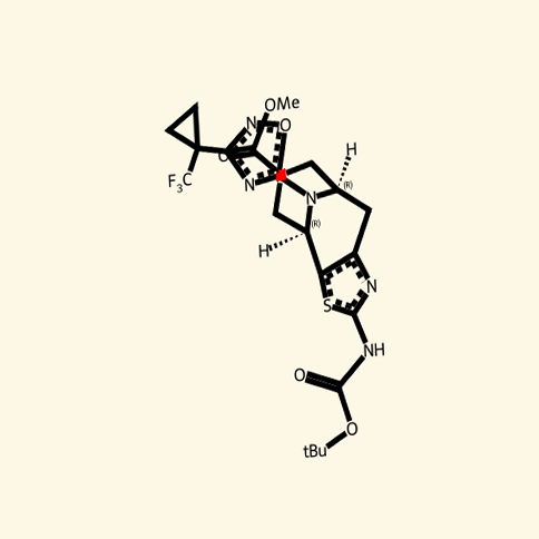 COC(=O)N1C[C@H]2Cc3nc(NC(=O)OC(C)(C)C)sc3[C@@H](C1)N2c1nc(C2(C(F)(F)F)CC2)no1